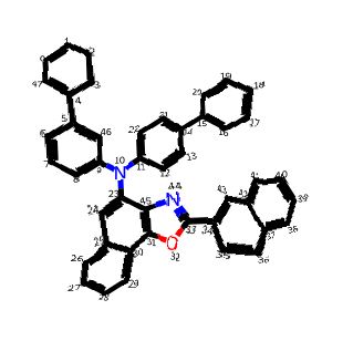 C1=CCCC(c2cccc(N(c3ccc(-c4ccccc4)cc3)c3cc4ccccc4c4oc(-c5ccc6ccccc6c5)nc34)c2)=C1